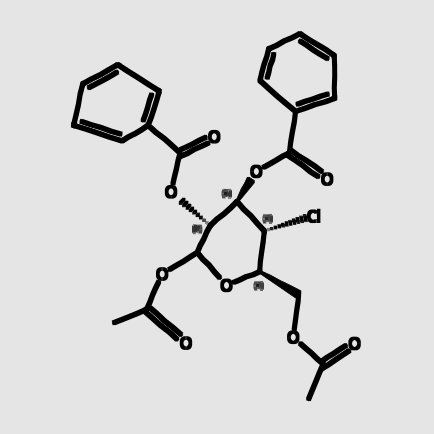 CC(=O)OC[C@H]1OC(OC(C)=O)[C@H](OC(=O)c2ccccc2)[C@@H](OC(=O)c2ccccc2)[C@@H]1Cl